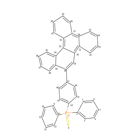 S=P(c1ccccc1)(c1ccccc1)c1ccc(-c2cc3c4ccccc4c4ccccc4c3c3ccccc23)cc1